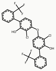 Oc1c(-c2ccccc2C(F)(F)F)ccc(Oc2ccc(-c3ccccc3C(F)(F)F)c(O)c2Cl)c1Cl